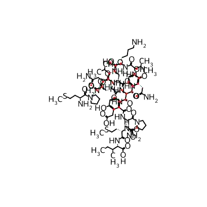 CC[C@H](C)[C@H](NC(=O)[C@H](CCSC)NC(=O)[C@@H]1CCCN1C(=O)[C@H](CC(N)=O)NC(=O)[C@H](CCC(=O)O)NC(=O)[C@H](Cc1ccc(O)cc1)NC(=O)[C@H](CC(N)=O)NC(=O)[C@@H](NC(=O)[C@H](CCCCN)NC(=O)[C@@H](NC(=O)[C@H](CC(N)=O)NC(=O)[C@H](Cc1ccc(O)cc1)NC(=O)[C@H](CCC(=O)O)NC(=O)[C@H](CC(N)=O)NC(=O)[C@@H]1CCCN1C(=O)[C@@H](N)CCSC)C(C)C)C(C)C)C(=O)O